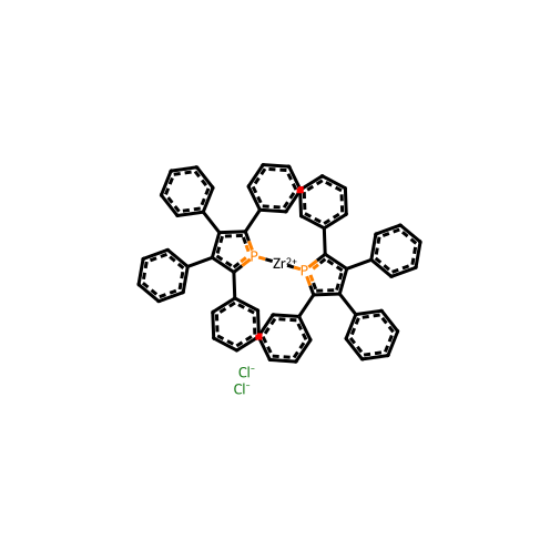 [Cl-].[Cl-].c1ccc(-c2c(-c3ccccc3)c(-c3ccccc3)[p]([Zr+2][p]3c(-c4ccccc4)c(-c4ccccc4)c(-c4ccccc4)c3-c3ccccc3)c2-c2ccccc2)cc1